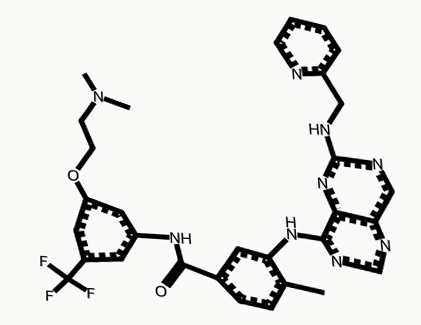 Cc1ccc(C(=O)Nc2cc(OCCN(C)C)cc(C(F)(F)F)c2)cc1Nc1ncnc2cnc(NCc3ccccn3)nc12